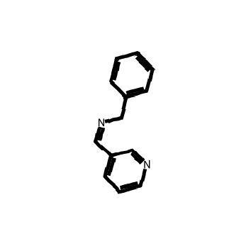 C(=N/Cc1ccccc1)/c1cccnc1